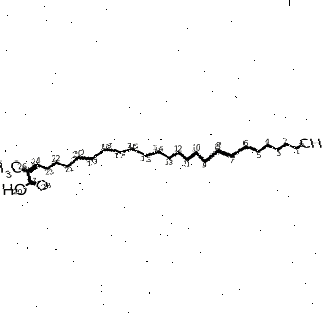 CCCCCCCCCCCCCCCCCCCCCCCCC=C(C)C(=O)O